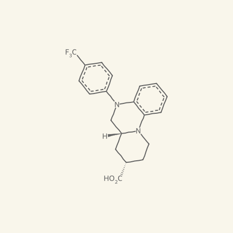 O=C(O)[C@H]1CCN2c3ccccc3N(c3ccc(C(F)(F)F)cc3)C[C@H]2C1